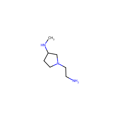 CNC1CCN(CCN)C1